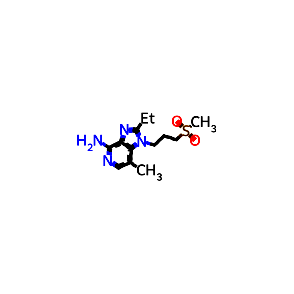 CCc1nc2c(N)ncc(C)c2n1CCCS(C)(=O)=O